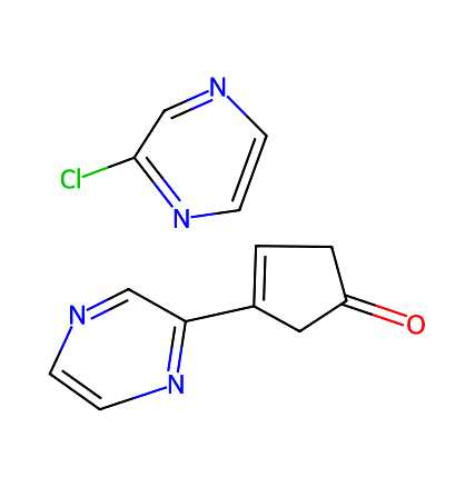 Clc1cnccn1.O=C1CC=C(c2cnccn2)C1